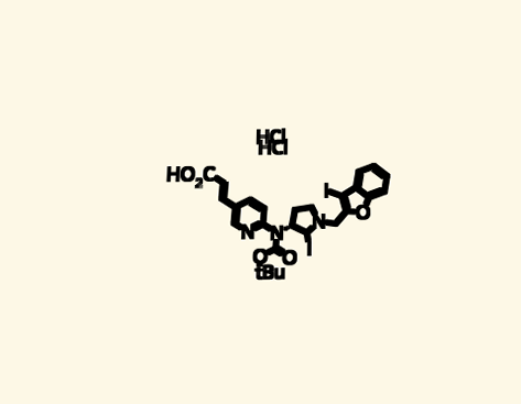 CC(C)(C)OC(=O)N(c1ccc(C=CC(=O)O)cn1)[C@@H]1CCN(Cc2oc3ccccc3c2I)C1I.Cl.Cl